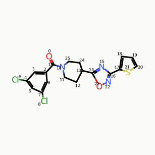 O=C(c1cc(Cl)cc(Cl)c1)N1CCC(c2nc(-c3cccs3)no2)CC1